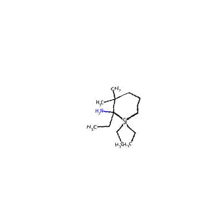 CCC1(N)C(C)(C)CCC[Si]1(CC)CC